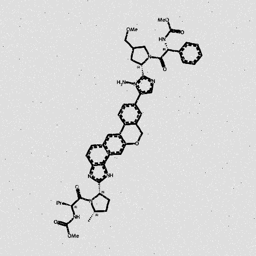 COCC1C[C@@H](c2ncc(-c3ccc4c(c3)COc3cc5c(ccc6nc([C@@H]7CC[C@H](C)N7C(=O)[C@@H](NC(=O)OC)C(C)C)[nH]c65)cc3-4)n2N)N(C(=O)[C@H](NC(=O)OC)c2ccccc2)C1